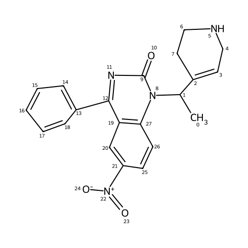 CC(C1=CCNCC1)n1c(=O)nc(-c2ccccc2)c2cc([N+](=O)[O-])ccc21